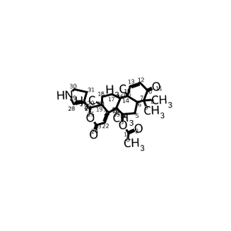 CC(=O)O[C@@H]1CC2C(C)(C)C(=O)C=C[C@]2(C)C2CC[C@]3(C)C(=CC(=O)O[C@H]3C3=CNCC3)[C@@]21C